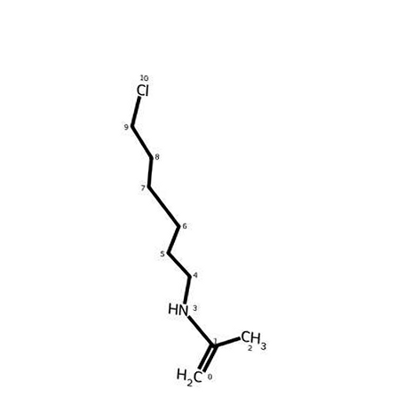 C=C(C)NCCCCCCCl